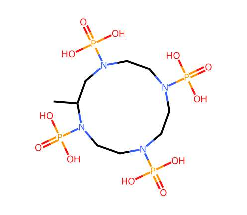 CC1CN(P(=O)(O)O)CCN(P(=O)(O)O)CCN(P(=O)(O)O)CCN1P(=O)(O)O